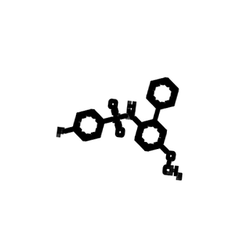 COc1ccc(NS(=O)(=O)c2ccc(F)cc2)c(-c2ccccc2)c1